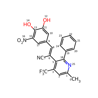 Cc1cc(C(F)(F)F)c(/C(C#N)=C/c2cc(O)c(O)c([N+](=O)[O-])c2)c(-c2ccccc2)n1